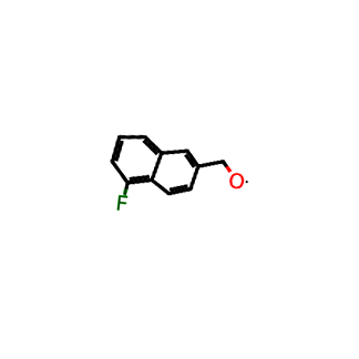 [O]Cc1ccc2c(F)cccc2c1